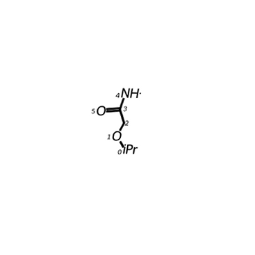 CC(C)OCC([NH])=O